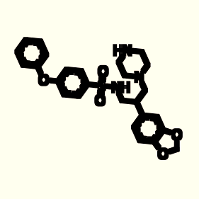 O=S(=O)(NCC(CN1CCNCC1)c1ccc2c(c1)OCO2)c1ccc(Oc2ccccc2)cc1